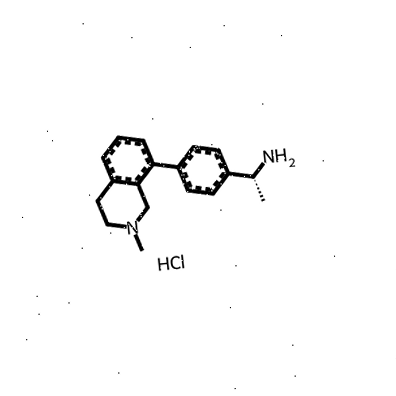 C[C@@H](N)c1ccc(-c2cccc3c2CN(C)CC3)cc1.Cl